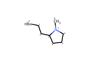 [CH2]CCCCCC1CCCN1C